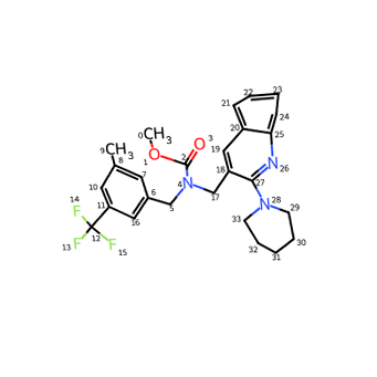 COC(=O)N(Cc1cc(C)cc(C(F)(F)F)c1)Cc1cc2ccccc2nc1N1CCCCC1